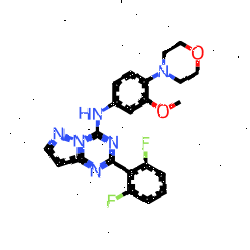 COc1cc(Nc2nc(-c3c(F)cccc3F)nc3ccnn23)ccc1N1CCOCC1